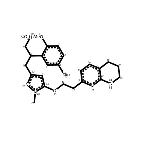 COc1ccc(C(C)(C)C)cc1C(CC(=O)O)Cc1cc(OCCc2ccc3c(n2)NCCC3)n(C)n1